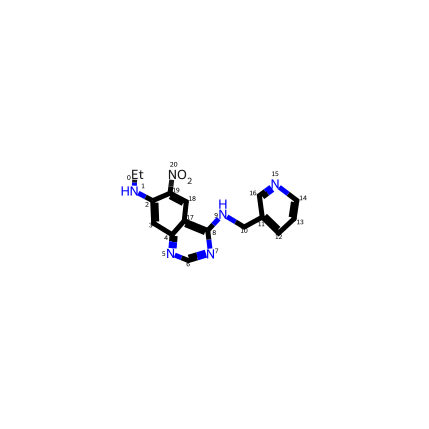 CCNc1cc2ncnc(NCc3cccnc3)c2cc1[N+](=O)[O-]